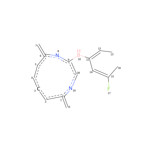 C=c1ccccc(=C)nc(BC(=C/C)/C=C(\C)F)cn1